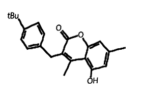 Cc1cc(O)c2c(C)c(Cc3ccc(C(C)(C)C)cc3)c(=O)oc2c1